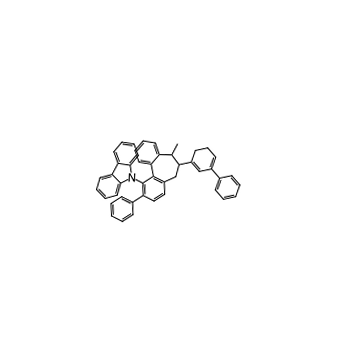 CC1c2ccccc2-c2c(ccc(-c3ccccc3)c2-n2c3ccccc3c3ccccc32)CC1C1=CC(c2ccccc2)=CCC1